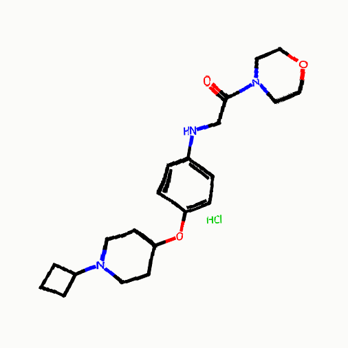 Cl.O=C(CNc1ccc(OC2CCN(C3CCC3)CC2)cc1)N1CCOCC1